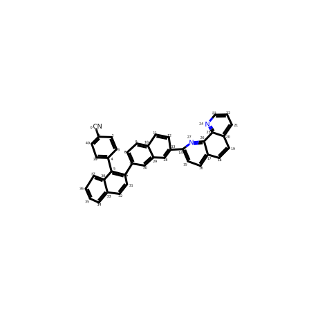 N#Cc1ccc(-c2c(-c3ccc4ccc(-c5ccc6ccc7cccnc7c6n5)cc4c3)ccc3ccccc23)cc1